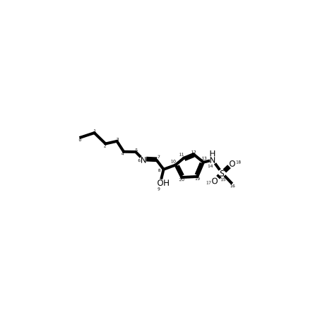 CCCCCCN=CC(O)c1ccc(NS(C)(=O)=O)cc1